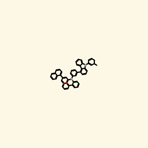 CC1C=C(n2c3ccccc3c3c(-c4cccc(N(c5cccc(-c6cccc7ccccc67)c5)c5ccccc5-c5ccccc5)c4)cccc32)C=CC1